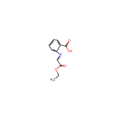 CCOC(=O)/C=N/c1ccccc1C(=O)O